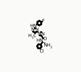 Cc1cnc(Nc2ccc(F)cc2)nc1-n1cnc(C(=O)N[C@H](CN)c2cccc(Cl)c2)c1